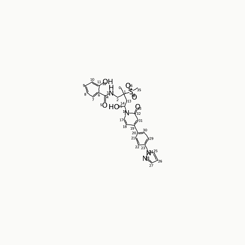 CC(CNC(=O)c1ccccc1O)(CC(O)n1ccc(-c2ccc(-n3cccn3)cc2)cc1=O)S(C)(=O)=O